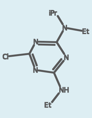 CCNc1nc(Cl)nc(N(CC)C(C)C)n1